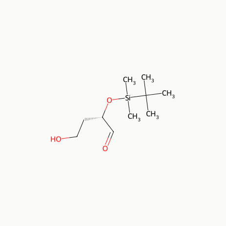 CC(C)(C)[Si](C)(C)O[C@H](C=O)CCO